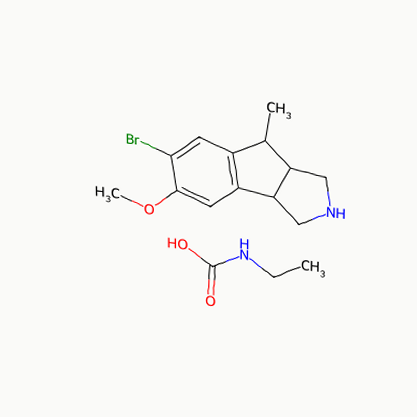 CCNC(=O)O.COc1cc2c(cc1Br)C(C)C1CNCC21